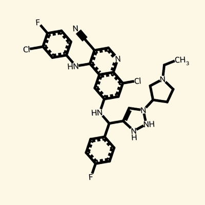 CCN1CCC(N2C=C(C(Nc3cc(Cl)c4ncc(C#N)c(Nc5ccc(F)c(Cl)c5)c4c3)c3ccc(F)cc3)NN2)C1